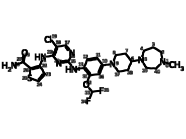 CN1CCCN(C2CCN(c3ccc(Nc4ncc(Cl)c(Nc5ccsc5C(N)=O)n4)c(OC(F)F)c3)CC2)CC1